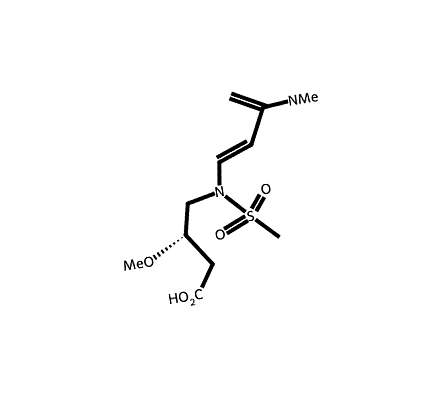 C=C(/C=C/N(C[C@H](CC(=O)O)OC)S(C)(=O)=O)NC